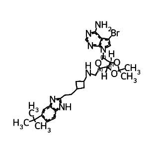 CC1(C)O[C@@H]2[C@H](O1)[C@@H](CNC1CC(CCc3nc4cc(C(C)(C)C)ccc4[nH]3)C1)O[C@H]2n1cc(Br)c2c(N)ncnc21